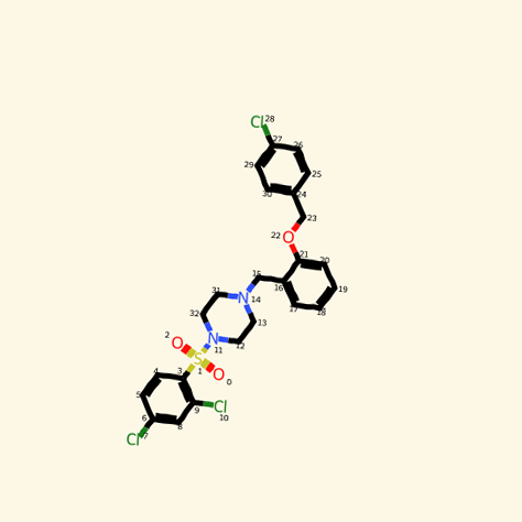 O=S(=O)(c1ccc(Cl)cc1Cl)N1CCN(Cc2c[c]ccc2OCc2ccc(Cl)cc2)CC1